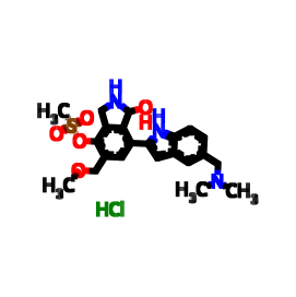 COCc1cc(-c2cc3cc(CN(C)C)ccc3[nH]2)c2c(c1OS(C)(=O)=O)CNC2O.Cl